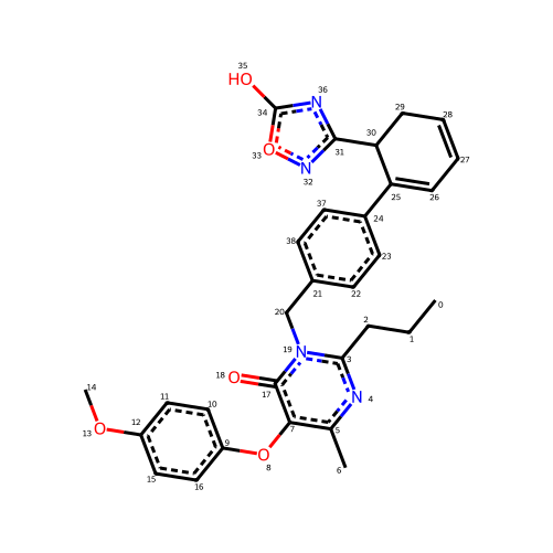 CCCc1nc(C)c(Oc2ccc(OC)cc2)c(=O)n1Cc1ccc(C2=CC=CCC2c2noc(O)n2)cc1